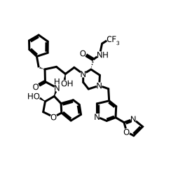 O=C(N[C@H]1c2ccccc2OC[C@H]1O)[C@H](Cc1ccccc1)C[C@H](O)CN1CCN(Cc2cncc(-c3ncco3)c2)C[C@H]1C(=O)NCC(F)(F)F